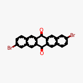 O=C1c2cc3ccc(Br)cc3cc2C(=O)c2cc3ccc(Br)cc3cc21